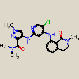 CN(C)C(=O)c1nn(C)cc1Nc1cc(Nc2cccc3c2C(=O)N(C)CC3)c(Cl)cn1